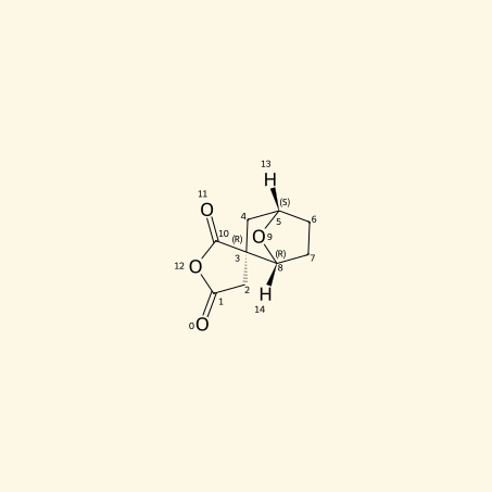 O=C1C[C@@]2(C[C@@H]3CC[C@H]2O3)C(=O)O1